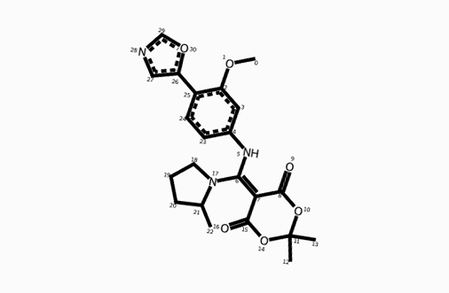 COc1cc(NC(=C2C(=O)OC(C)(C)OC2=O)N2CCCC2C)ccc1-c1cnco1